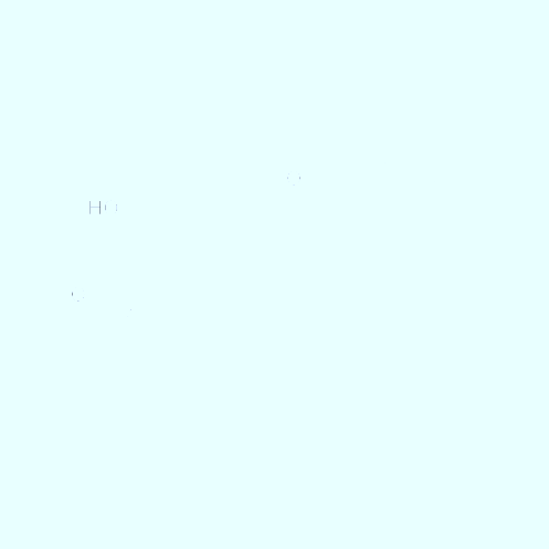 Cc1cccc2c1Cc1cc(OCc3ccccc3)cc(O)c1C2=O